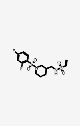 C=CS(=O)(=O)NCC1CCCN(S(=O)(=O)c2ccc(F)cc2F)C1